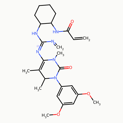 C=CC(=O)NC1CCCCC1N/C(N=C)=N/C1=C(C)C(C)N(c2cc(OC)cc(OC)c2)C(=O)N1C